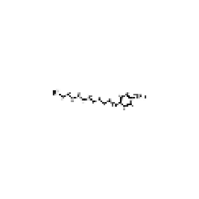 CC(C)(C)c1ccc(OCCCCCCCCCCBr)cc1